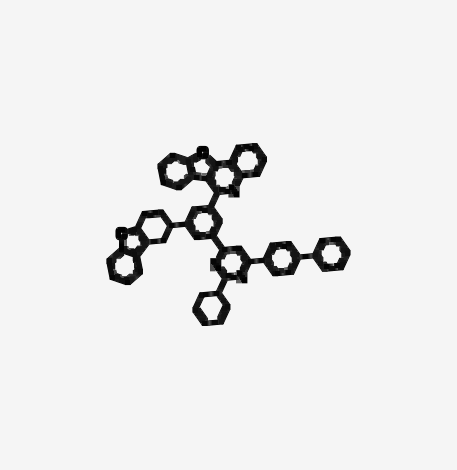 C1=CCC(c2nc(-c3ccc(-c4ccccc4)cc3)cc(-c3cc(-c4nc5ccccc5c5oc6ccccc6c45)cc(C4C=Cc5oc6ccccc6c5C4)c3)n2)C=C1